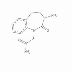 NC(=O)CN1C(=O)C(N)CSc2ccccc21